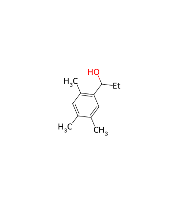 CCC(O)c1cc(C)c(C)cc1C